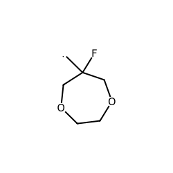 [CH2]C1(F)COCCOC1